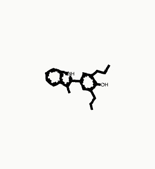 CCCc1cc(-c2[nH]c3ccccc3c2C)cc(CCC)c1O